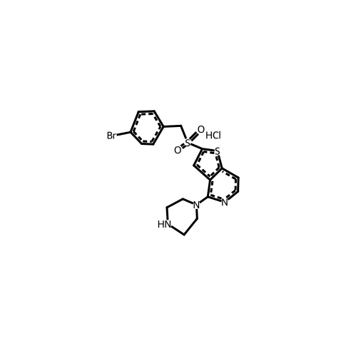 Cl.O=S(=O)(Cc1ccc(Br)cc1)c1cc2c(N3CCNCC3)nccc2s1